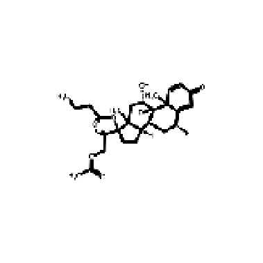 CCCC(=O)O[C@]1(C(=O)COC(C)=O)CC[C@H]2C3C[C@H](F)C4=CC(=O)C=CC4(C)[C@@]3(F)[C@@H](O)CC21C